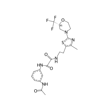 CC(=O)Nc1cccc(NC(=O)C(=O)NCCc2sc(N3CCO[C@@H](C(F)(F)F)C3)nc2C)c1